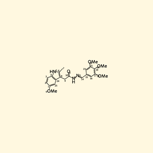 COc1ccc2[nH]c(C)c(CC(=O)N/N=C/c3cc(OC)c(OC)c(OC)c3)c2c1